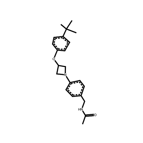 CC(=O)NCc1ccc(N2CC(Oc3ccc(C(C)(C)C)cc3)C2)cc1